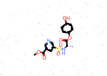 COC(=O)c1cncc(S(=O)(=O)N[C@@H](C)C(=O)Oc2ccc(O)cc2)c1